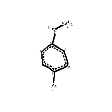 CC(=O)c1ccc(SN)cc1